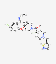 CO/N=C1\CC2(CCN(C(=O)C3(F)CCN(Cc4ccns4)CC3)CC2)Oc2ccc(F)cc21